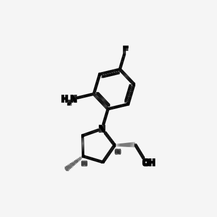 C[C@H]1C[C@@H](CO)N(c2ccc(F)cc2N)C1